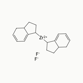 C1=CCC2CC[CH]([Zr+2][CH]3CCC4CC=CC=C43)C2=C1.[F-].[F-]